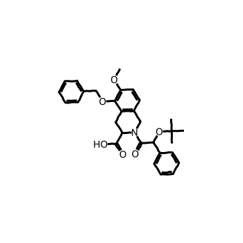 COc1ccc2c(c1OCc1ccccc1)CC(C(=O)O)N(C(=O)C(OC(C)(C)C)c1ccccc1)C2